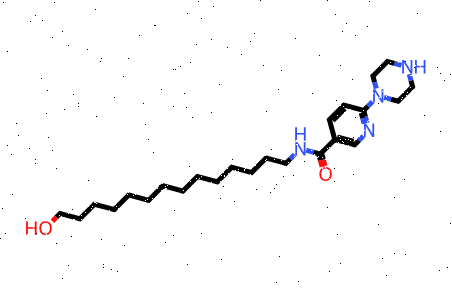 O=C(NCCCCCCCCCCCCCCO)c1ccc(N2CCNCC2)nc1